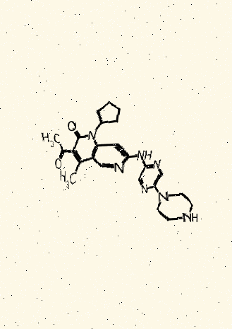 CC(=O)c1c(C)c2cnc(Nc3cnc(N4CCNCC4)cn3)cc2n(C2CCCC2)c1=O